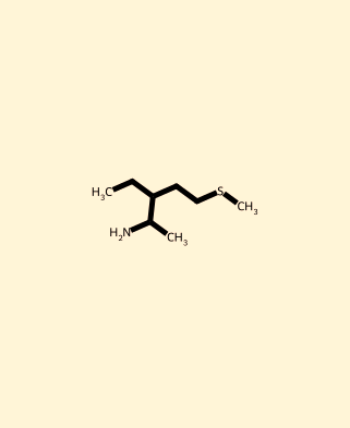 CCC(CCSC)C(C)N